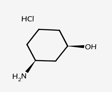 Cl.N[C@H]1CCC[C@@H](O)C1